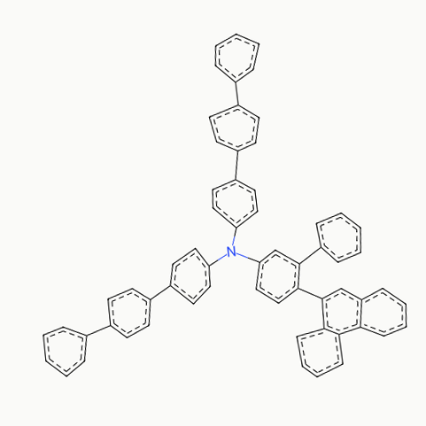 c1ccc(-c2ccc(-c3ccc(N(c4ccc(-c5ccc(-c6ccccc6)cc5)cc4)c4ccc(-c5cc6ccccc6c6ccccc56)c(-c5ccccc5)c4)cc3)cc2)cc1